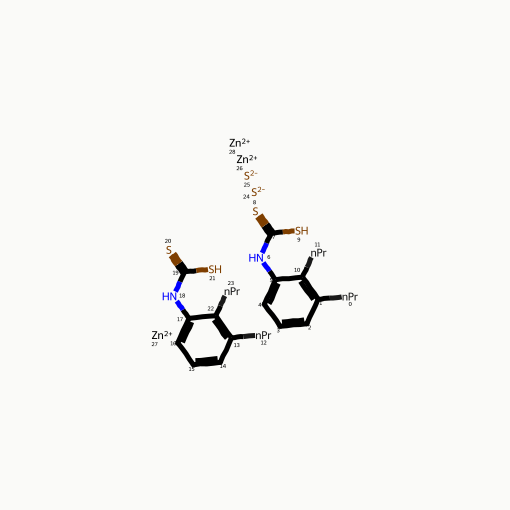 CCCc1cccc(NC(=S)S)c1CCC.CCCc1cccc(NC(=S)S)c1CCC.[S-2].[S-2].[Zn+2].[Zn+2].[Zn+2]